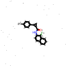 CC(C)c1ccc(C2CC2C(=O)Nc2ccc3ccccc3c2F)cc1